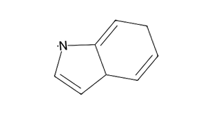 C1=CC2C=C[N]C2=CC1